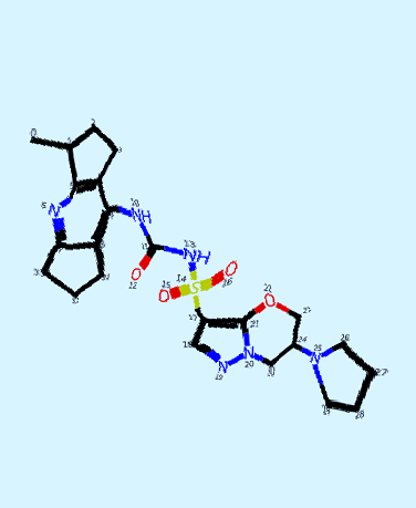 CC1CCc2c1nc1c(c2NC(=O)NS(=O)(=O)c2cnn3c2OCC(N2CCCC2)C3)CCC1